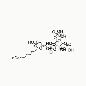 CCCCCCCCCCCCCCCC(=O)O[C@@H](COP(=O)(O)OC1C(O)[C@H](OP(=O)(O)O)[C@H](O)C(OP(=O)(O)O)[C@@H]1O)CC(=O)O